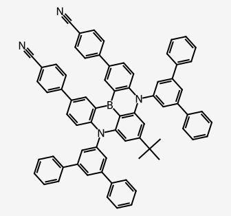 CC(C)(C)c1cc2c3c(c1)N(c1cc(-c4ccccc4)cc(-c4ccccc4)c1)c1ccc(-c4ccc(C#N)cc4)cc1B3c1cc(-c3ccc(C#N)cc3)ccc1N2c1cc(-c2ccccc2)cc(-c2ccccc2)c1